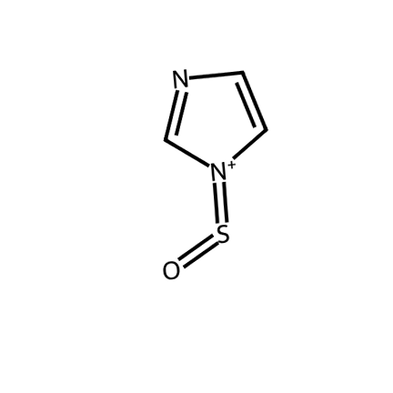 O=S=[N+]1C=CN=C1